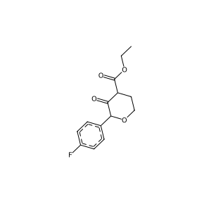 CCOC(=O)C1CCOC(c2ccc(F)cc2)C1=O